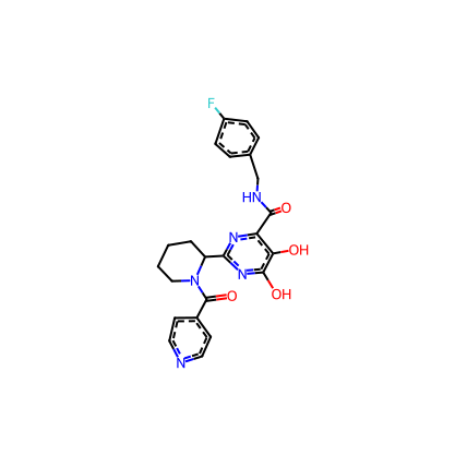 O=C(NCc1ccc(F)cc1)c1nc(C2CCCCN2C(=O)c2ccncc2)nc(O)c1O